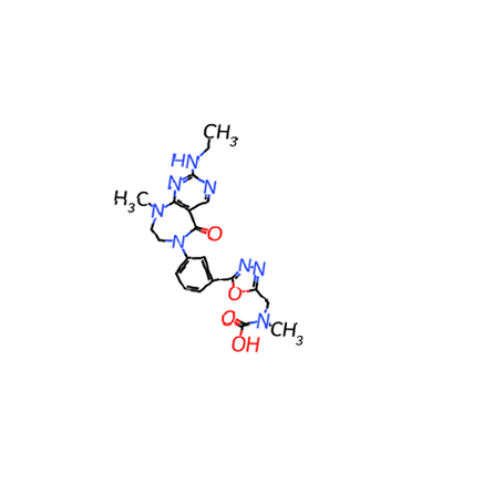 CCNc1ncc2c(n1)N(C)CCN(c1cccc(-c3nnc(CN(C)C(=O)O)o3)c1)C2=O